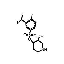 Cc1ccc(S(=O)(=O)OC2CCNCC2O)cc1C(F)F